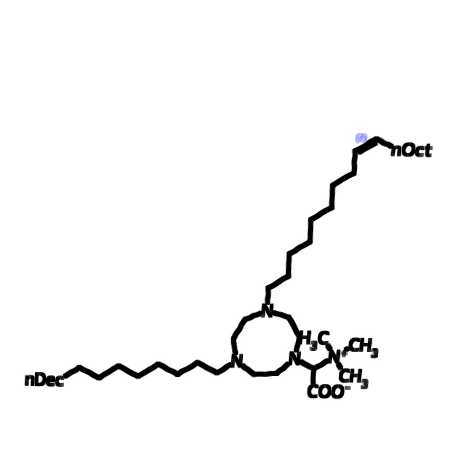 CCCCCCCC/C=C\CCCCCCCCN1CCN(CCCCCCCCCCCCCCCCCC)CCN(C(C(=O)[O-])[N+](C)(C)C)CC1